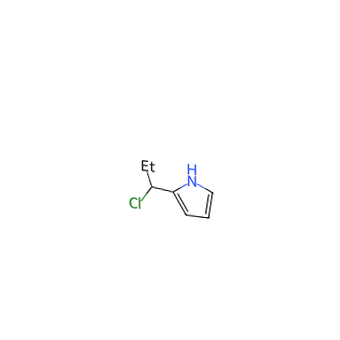 CCC(Cl)c1ccc[nH]1